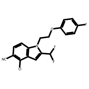 N#Cc1ccc2c(cc(C(F)F)n2CCOc2ccc(F)cc2)c1Cl